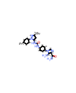 CC(C)c1ccc(-n2nc(C(C)(C)C)cc2NC(=O)Nc2ccc(-n3cnc(C(N)=O)c3N)cc2)cc1